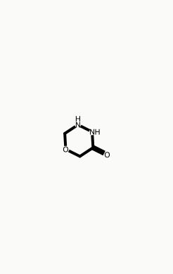 O=C1COCNN1